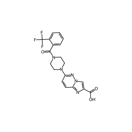 O=C(O)c1cn2nc(N3CCN(C(=O)c4ccccc4C(F)(F)F)CC3)ccc2n1